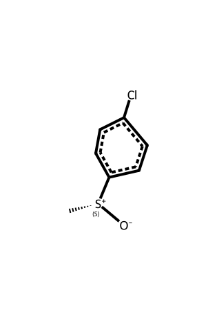 C[S@@+]([O-])c1ccc(Cl)cc1